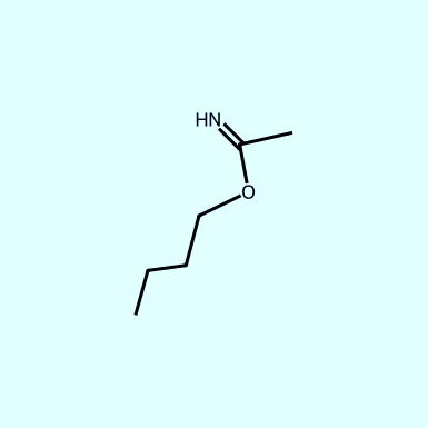 CCCCOC(C)=N